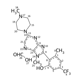 Cc1cc(C(F)(F)F)cc(O)c1-c1nc2nc(N3CCN(C)CC3)cnc2n1C.O=CO